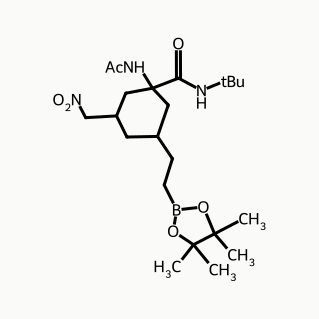 CC(=O)NC1(C(=O)NC(C)(C)C)CC(CCB2OC(C)(C)C(C)(C)O2)CC(C[N+](=O)[O-])C1